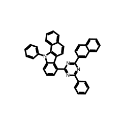 c1ccc(-c2nc(-c3ccc4ccccc4c3)nc(-c3cccc4c3c3ccc5ccccc5c3n4-c3ccccc3)n2)cc1